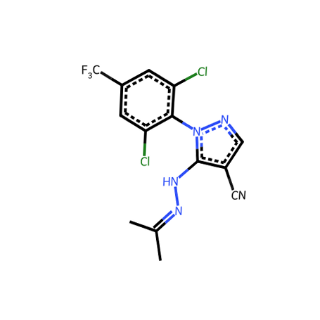 CC(C)=NNc1c(C#N)cnn1-c1c(Cl)cc(C(F)(F)F)cc1Cl